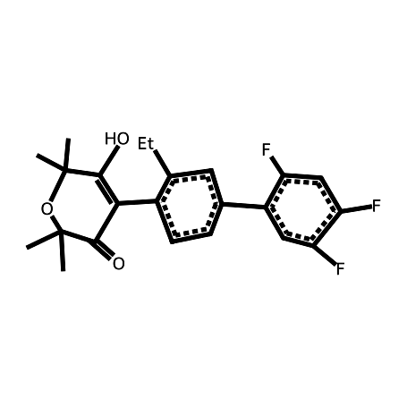 CCc1cc(-c2cc(F)c(F)cc2F)ccc1C1=C(O)C(C)(C)OC(C)(C)C1=O